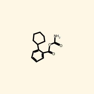 NC(=O)OC(=O)c1ccccc1C1CCCCC1